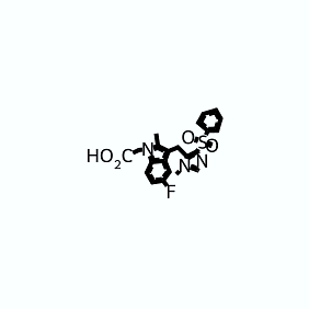 Cc1c(Cc2c(S(=O)(=O)c3ccccc3)ncn2C)c2cc(F)ccc2n1CC(=O)O